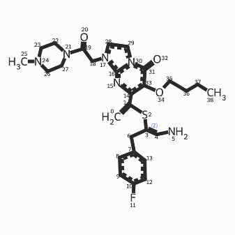 C=C(S/C(=C\N)Cc1ccc(F)cc1)c1nc2n(CC(=O)N3CCN(C)CC3)ccn2c(=O)c1OCCCC